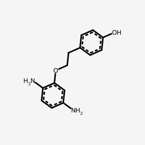 Nc1ccc(N)c(OCCc2ccc(O)cc2)c1